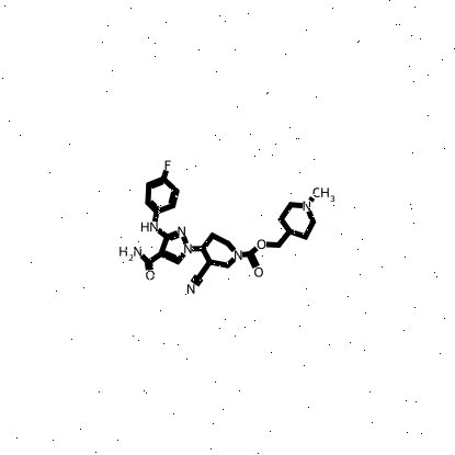 CN1CCC(COC(=O)N2CCC(n3cc(C(N)=O)c(Nc4ccc(F)cc4)n3)C(C#N)C2)CC1